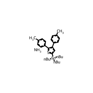 CCC[CH2][Sn]([CH2]CCC)([CH2]CCC)[c]1cc(-c2ccc(C)cc2)c(-c2ccc(C)cc2)s1.N